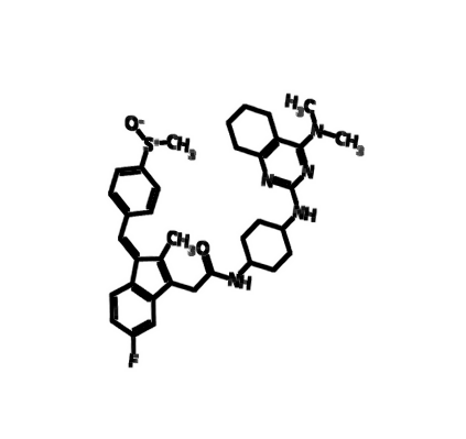 CC1=C(CC(=O)NC2CCC(Nc3nc4c(c(N(C)C)n3)CCCC4)CC2)c2cc(F)ccc2C1=Cc1ccc([S+](C)[O-])cc1